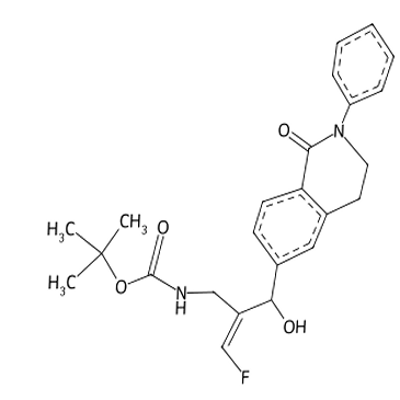 CC(C)(C)OC(=O)NC/C(=C/F)C(O)c1ccc2c(c1)CCN(c1ccccc1)C2=O